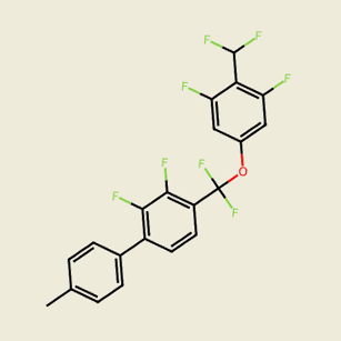 Cc1ccc(-c2ccc(C(F)(F)Oc3cc(F)c(C(F)F)c(F)c3)c(F)c2F)cc1